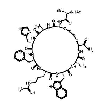 CCCC[C@H](NC(C)=O)C(=O)N[C@H]1CSSC[C@@H](C(N)=O)NC(=O)[C@H](C)NC(=O)[C@H](Cc2c[nH]c3ccccc23)NC(=O)[C@H](CCCNC(=N)N)NC(=O)[C@@H](Cc2ccccc2)NC(=O)[C@H](Cc2c[nH]cn2)NC(=O)[C@@H](C)NC1=O